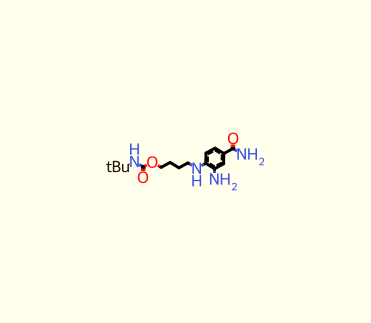 CC(C)(C)NC(=O)OCCCCNc1ccc(C(N)=O)cc1N